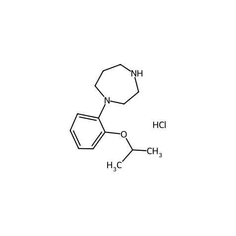 CC(C)Oc1ccccc1N1CCCNCC1.Cl